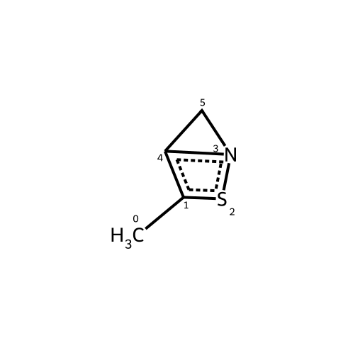 Cc1sn2c1C2